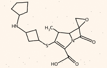 CC1C(SC2CC(NC3CCCC3)C2)=C(C(=O)O)N2C(=O)C3(CO3)C12